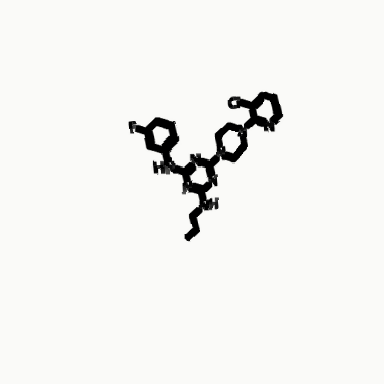 CCCNc1nc(Nc2cccc(F)c2)nc(N2CCN(c3ncccc3Cl)CC2)n1